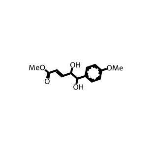 COC(=O)/C=C/C(O)C(O)c1ccc(OC)cc1